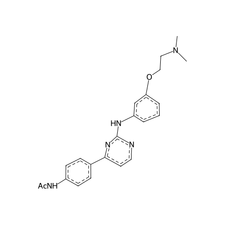 CC(=O)Nc1ccc(-c2ccnc(Nc3cccc(OCCN(C)C)c3)n2)cc1